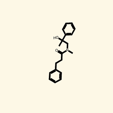 CN(CC(C)(O)c1ccccc1)C(=O)CCc1ccccc1